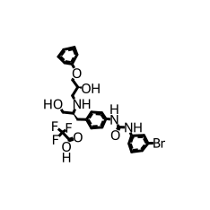 O=C(Nc1ccc(C[C@@H](CO)NC[C@H](O)COc2ccccc2)cc1)Nc1cccc(Br)c1.O=C(O)C(F)(F)F